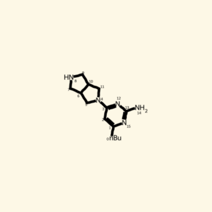 CCCCc1cc(N2CC3CNCC3C2)nc(N)n1